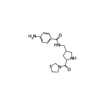 Nc1ccc(C(=O)NCC2CNC(C(=O)N3CCSC3)C2)cc1